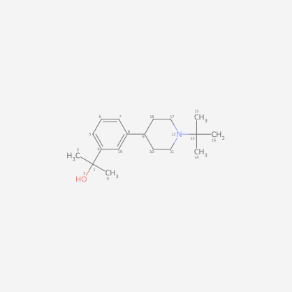 CC(C)(O)c1cccc(C2CCN(C(C)(C)C)CC2)c1